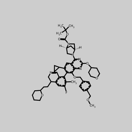 COCc1ccc(COc2c(-c3c(C)c(F)cc4c3C=NCC4CCC3CCCCO3)c(C3CC3)cc3c(N4C[C@@H]5C[C@H]4CN5C(=O)OC(C)(C)C)nc(OC4CCOCC4)nc23)cc1